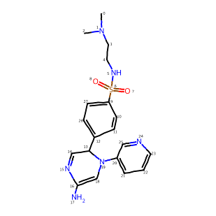 CN(C)CCNS(=O)(=O)c1ccc(C2C=NC(N)=CN2c2cccnc2)cc1